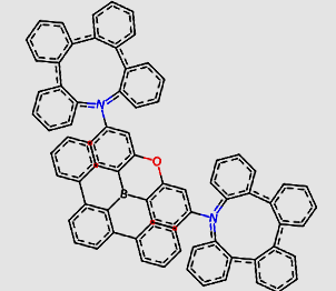 c1ccc(-c2cccc(-c3ccccc3)c2B2c3ccc(-n4c5ccccc5c5ccccc5c5ccccc5c5ccccc54)cc3Oc3cc(-n4c5ccccc5c5ccccc5c5ccccc5c5ccccc54)ccc32)cc1